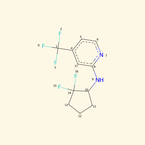 FC(F)(F)c1ccnc(NC2CCCC2(F)F)c1